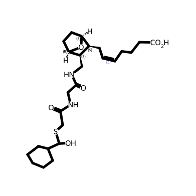 O=C(O)CCC/C=C\C[C@H]1[C@@H](CNC(=O)CNC(=O)CSC(O)C2CCCCC2)[C@H]2CC[C@@H]1O2